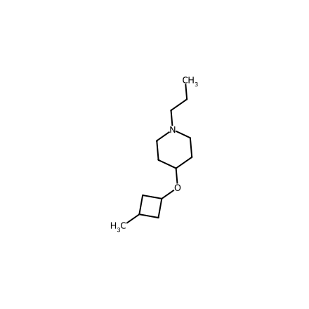 CCCN1CCC(OC2CC(C)C2)CC1